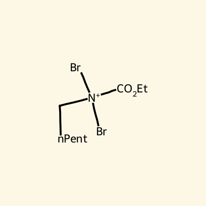 CCCCCC[N+](Br)(Br)C(=O)OCC